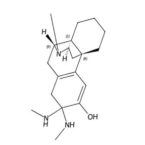 CNC1(NC)CC2=C(C=C1O)[C@@]13CCCC[C@@H]1[C@@H](C2)N(C)CC3